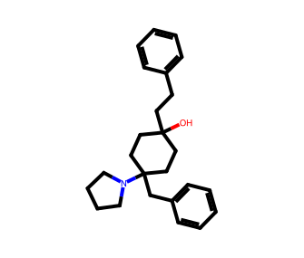 OC1(CCc2ccccc2)CCC(Cc2ccccc2)(N2CCCC2)CC1